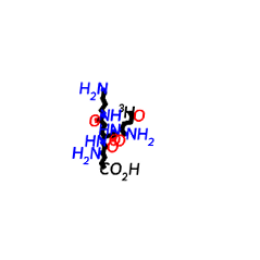 [3H]C(=O)CCC(NC(=O)C(CCC(=O)NCCCCN)NC(=O)C(N)CCC(=O)O)C(N)=O